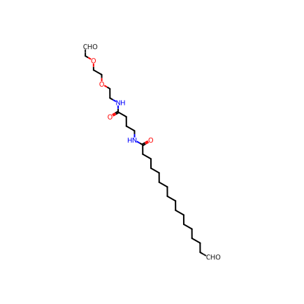 O=CCCCCCCCCCCCCCCCC(=O)NCCCC(=O)NCCOCCOCC=O